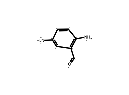 Nc1ccc(N)c([C]=O)c1